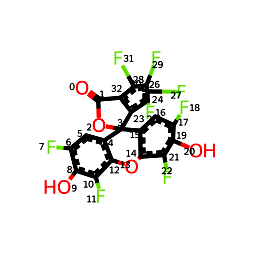 O=C1OC2(c3cc(F)c(O)c(F)c3Oc3c2cc(F)c(O)c3F)c2c(F)c(F)c(F)c(F)c21